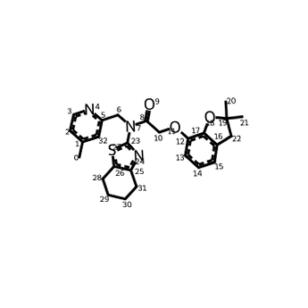 Cc1ccnc(CN(C(=O)COc2cccc3c2OC(C)(C)C3)c2nc3c(s2)CCCC3)c1